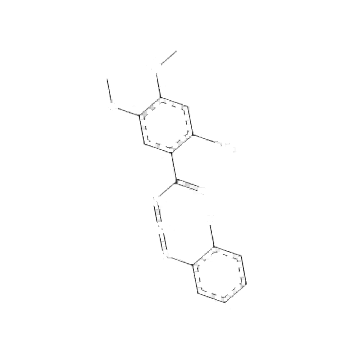 COc1cc(N)c(C(=O)N=[N+]=Nc2ccccc2Cl)cc1OC